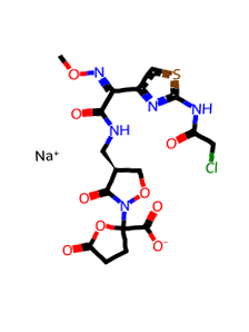 CO/N=C(\C(=O)NC[C@H]1CON(C2(C(=O)[O-])CCC(=O)O2)C1=O)c1csc(NC(=O)CCl)n1.[Na+]